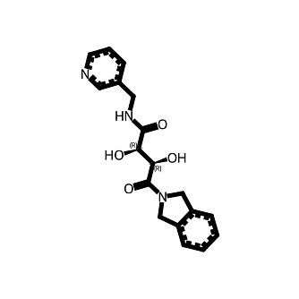 O=C(NCc1cccnc1)[C@H](O)[C@@H](O)C(=O)N1Cc2ccccc2C1